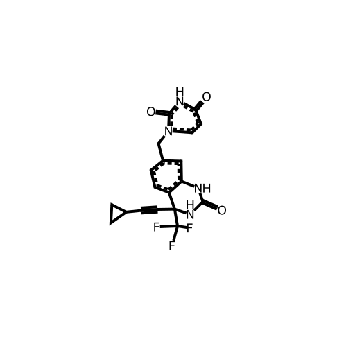 O=C1Nc2cc(Cn3ccc(=O)[nH]c3=O)ccc2C(C#CC2CC2)(C(F)(F)F)N1